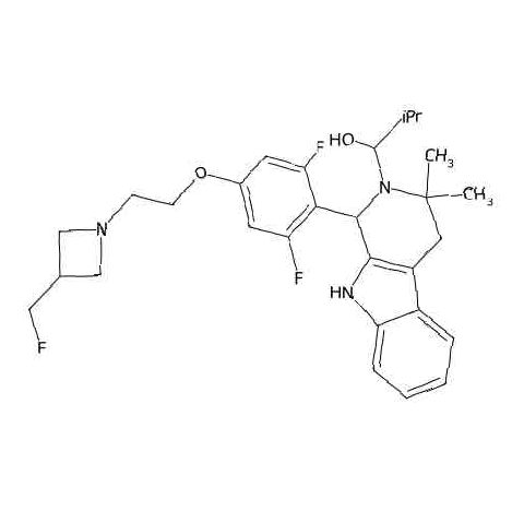 CC(C)C(O)N1C(c2c(F)cc(OCCN3CC(CF)C3)cc2F)c2[nH]c3ccccc3c2CC1(C)C